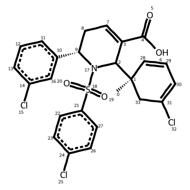 C[C@]1(C2C(C(=O)O)=CC[C@@H](c3cccc(Cl)c3)N2S(=O)(=O)c2ccc(Cl)cc2)C=CC=C(Cl)C1